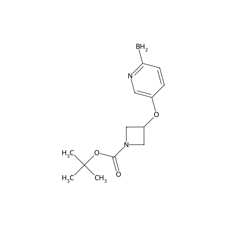 Bc1ccc(OC2CN(C(=O)OC(C)(C)C)C2)cn1